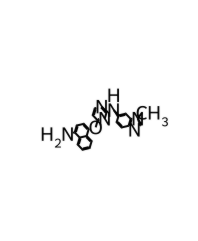 Cn1cnc2ccc(Nc3nccc(Oc4ccc(N)c5ccccc45)n3)cc21